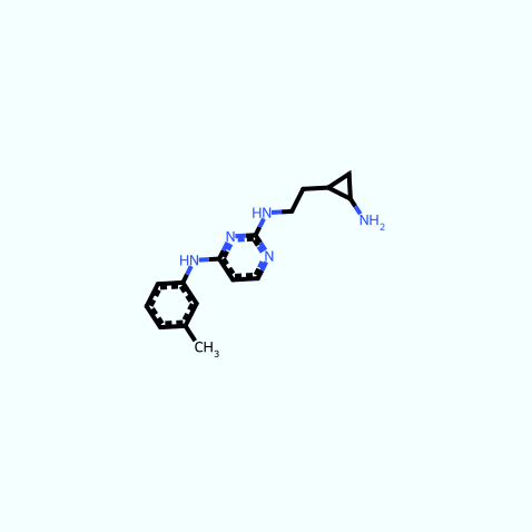 Cc1cccc(Nc2ccnc(NCCC3CC3N)n2)c1